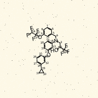 O[C@H](CN(Cc1cccc(OC(F)(F)C(F)F)c1)c1cccc(Oc2cccc(C3CC3)c2)c1)C(F)(F)F